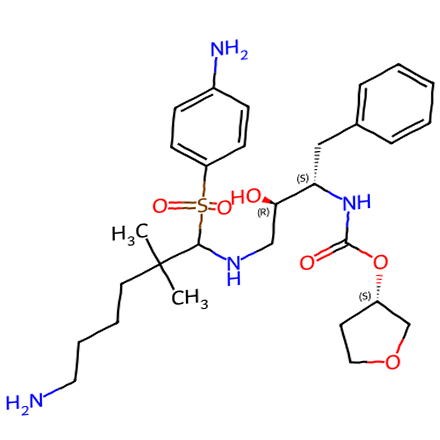 CC(C)(CCCCN)C(NC[C@@H](O)[C@H](Cc1ccccc1)NC(=O)O[C@H]1CCOC1)S(=O)(=O)c1ccc(N)cc1